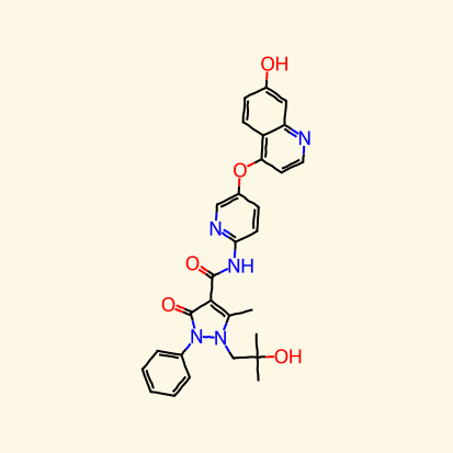 Cc1c(C(=O)Nc2ccc(Oc3ccnc4cc(O)ccc34)cn2)c(=O)n(-c2ccccc2)n1CC(C)(C)O